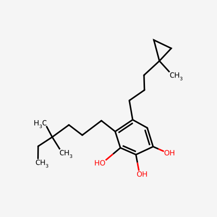 CCC(C)(C)CCCc1c(CCCC2(C)CC2)cc(O)c(O)c1O